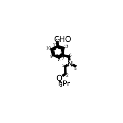 CCCOCCN(C)Cc1cccc(C=O)c1